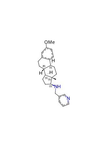 COc1ccc2c(c1)CC[C@@H]1[C@@H]2CC[C@]2(C)[C@@H](NCc3cccnc3)CC[C@@H]12